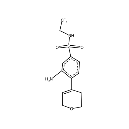 Nc1cc(S(=O)(=O)NCC(F)(F)F)ccc1C1=CCOCC1